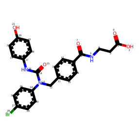 O=C(O)CCNC(=O)c1ccc(CN(C(=O)Nc2ccc(O)cc2)c2ccc(Br)cc2)cc1